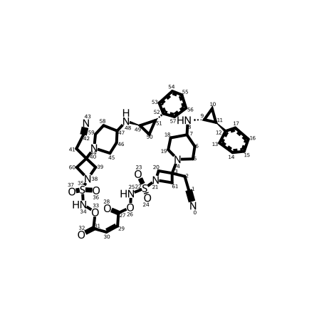 N#CCC1(N2CCC(N[C@@H]3C[C@H]3c3ccccc3)CC2)CN(S(=O)(=O)NOC(=O)/C=C\C(=O)ONS(=O)(=O)N2CC(CC#N)(N3CCC(N[C@@H]4C[C@H]4c4ccccc4)CC3)C2)C1